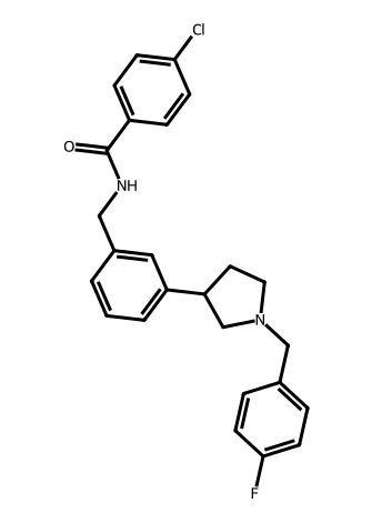 O=C(NCc1cccc(C2CCN(Cc3ccc(F)cc3)C2)c1)c1ccc(Cl)cc1